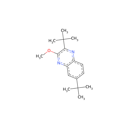 COc1nc2cc(C(C)(C)C)ccc2nc1C(C)(C)C